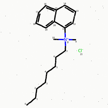 CCCCCCCC[N+](C)(C)c1cccc2ccccc12.[Cl-]